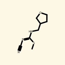 CS/C(=N\C#N)NCC1CCOC1